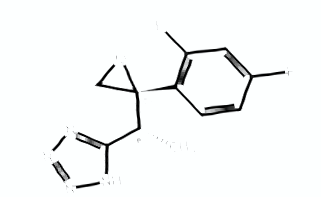 C[C@H](c1nnn[nH]1)[C@]1(c2ccc(F)cc2F)CO1